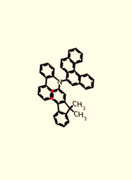 CC1(C)c2ccccc2-c2ccc(N(c3ccccc3-c3ccccc3)c3cc4ccccc4c4c3ccc3ccccc34)cc21